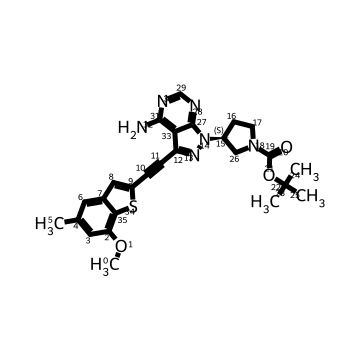 COc1cc(C)cc2cc(C#Cc3nn([C@H]4CCN(C(=O)OC(C)(C)C)C4)c4ncnc(N)c34)sc12